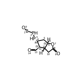 O=BPP[C@@H]1C[C@@H]2OC(=O)C[C@@H]2[C@H]1C=O